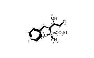 CCOC(=O)[N+](C)(C)[C@@H](Cc1ccncc1)[C@H](O)CCl